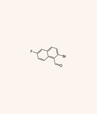 O=Cc1c(Br)ccc2cc(F)ccc12